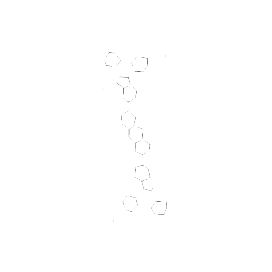 Cc1ccc(-c2sc3cc(-c4ccc5cc6cc(-c7ccc8c(-c9ccc(C)cc9)c(-c9ccc(C)cc9)n(C)c8c7)ccc6cc5c4)ccc3c2-c2ccc(C)cc2)cc1